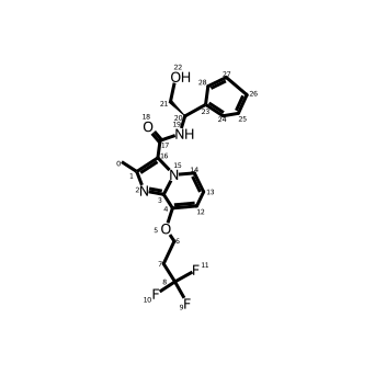 Cc1nc2c(OCCC(F)(F)F)cccn2c1C(=O)N[C@@H](CO)c1ccccc1